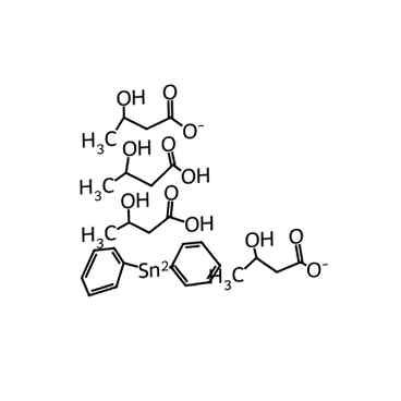 CC(O)CC(=O)O.CC(O)CC(=O)O.CC(O)CC(=O)[O-].CC(O)CC(=O)[O-].c1cc[c]([Sn+2][c]2ccccc2)cc1